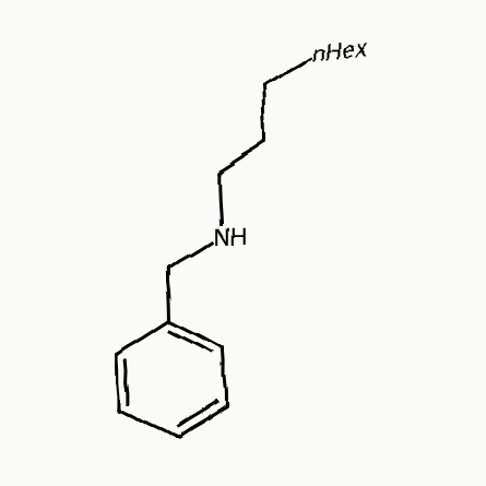 CCCCCCCCCNCc1ccccc1